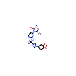 CC(C)[C@H]1CN(C)C(=O)N1c1ccnc(NC2(c3cn(-c4ccc5c(c4)OCO5)cn3)CC2)n1